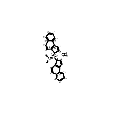 C[Si](C)=[Ti+2]([CH]1C=Cc2c1ccc1ccccc21)[CH]1C=Cc2c1ccc1ccccc21.[Cl-].[Cl-]